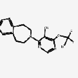 N#Cc1c(OC(F)(F)Br)ncnc1N1CCc2ccccc2CC1